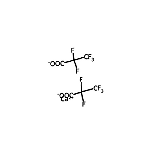 O=C([O-])C(F)(F)C(F)(F)F.O=C([O-])C(F)(F)C(F)(F)F.[Ca+2]